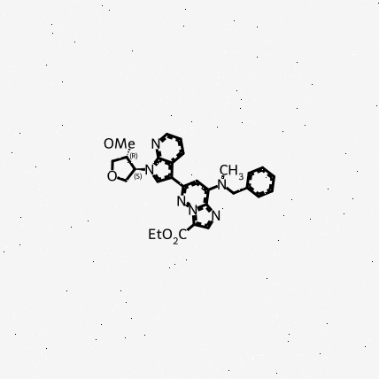 CCOC(=O)c1cnc2c(N(C)Cc3ccccc3)cc(-c3cn([C@H]4COC[C@@H]4OC)c4ncccc34)nn12